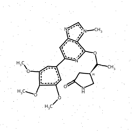 COc1cc(-c2cc3ncn(C)c3c(OC(C)[C@H]3CNC(=O)C3)n2)cc(OC)c1OC